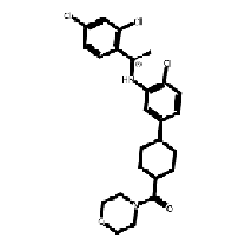 C[C@@H](Nc1cc(C2CCC(C(=O)N3CCOCC3)CC2)ccc1Cl)c1ccc(Cl)cc1Cl